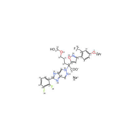 CCCOc1ccc(-c2cc(C(CCCOS(=O)(=O)O)(C(=O)[O-])n3cc4nc(-c5cccc(F)c5F)nc-4cn3)on2)c(C(F)(F)F)c1.[Na+]